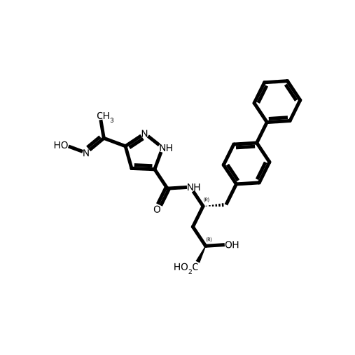 CC(=NO)c1cc(C(=O)N[C@H](Cc2ccc(-c3ccccc3)cc2)C[C@@H](O)C(=O)O)[nH]n1